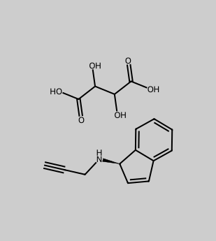 C#CCN[C@@H]1C=Cc2ccccc21.O=C(O)C(O)C(O)C(=O)O